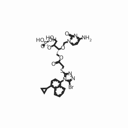 Nc1ccn(CO[C@H](COC(=O)CSc2nnc(Br)n2-c2ccc(C3CC3)c3ccccc23)C(CO)OP(=O)(O)O)c(=O)n1